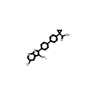 Nc1c(-c2ccc(-c3ccc(C4(C(=O)O)CC4)cc3)cc2)sc2ncc(Cl)cc12